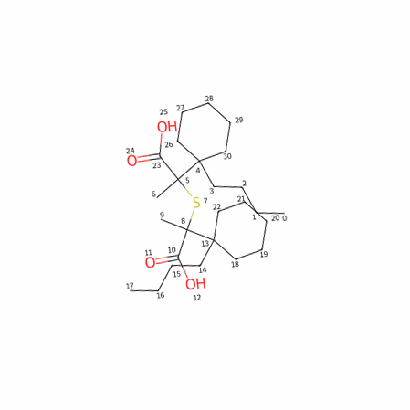 CCCCC1(C(C)(SC(C)(C(=O)O)C2(CCCC)CCCCC2)C(=O)O)CCCCC1